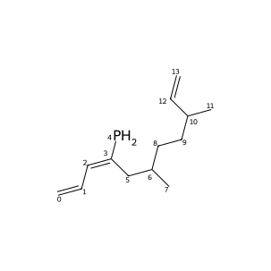 C=C/C=C(/P)CC(C)CCC(C)C=C